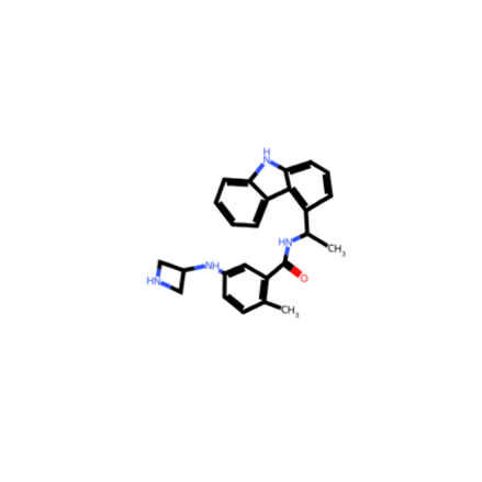 Cc1ccc(NC2CNC2)cc1C(=O)NC(C)c1cccc2[nH]c3ccccc3c12